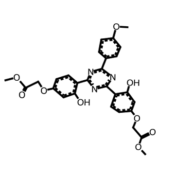 COC(=O)COc1ccc(-c2nc(-c3ccc(OC)cc3)nc(-c3ccc(OCC(=O)OC)cc3O)n2)c(O)c1